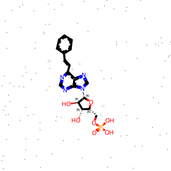 O=P(O)(O)OC[C@H]1O[C@@H](n2cnc3c(C=Cc4ccccc4)ncnc32)[C@H](O)[C@H]1O